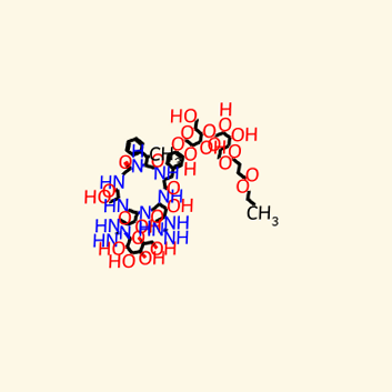 CCCCOC(=O)CCC1OCC2OC(OC3C(CO)OC(Oc4ccc(CC5NC(=O)C(C(C)c6ccccc6)NC(=O)CNC(=O)C(CO)NC(=O)C(C(O)C6CNC(=N)N6C6OC(CO)C(O)C(O)C6O)NC(=O)C(C(O)C6CNC(=N)N6)NC5=O)cc4)C(O)C3O)C(O)C(O)C2O1